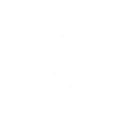 CC(C)CCCCCOS(=O)(=O)O.Oc1ccccc1